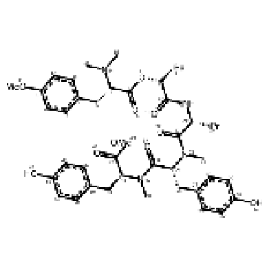 CC[C@H](C)[C@@H](OC(=O)[C@H](Cc1ccc(OC)cc1)N(C)C)C(=O)N[C@@H](C(=O)N(C)[C@H](Cc1ccc(O)cc1)C(=O)N(C)[C@@H](Cc1ccc(O)cc1)C(=O)OC)C(C)C